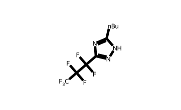 CCCCc1nc(C(F)(F)C(F)(F)C(F)(F)F)n[nH]1